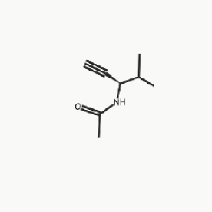 C#C[C@H](NC(C)=O)C(C)C